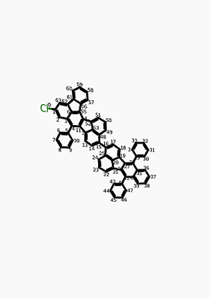 Clc1cc2c(-c3ccccc3)c3c4ccc(-c5ccc6c7c(cccc57)-c5c-6c(-c6ccccc6)c6ccccc6c5-c5ccccc5)c5cccc(c54)c3c3c4ccccc4c(c1)c23